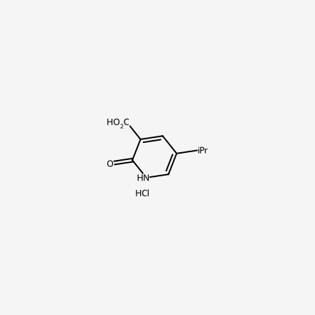 CC(C)c1c[nH]c(=O)c(C(=O)O)c1.Cl